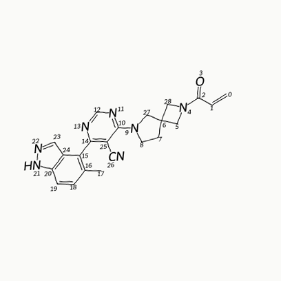 C=CC(=O)N1CC2(CCN(c3ncnc(-c4c(C)ccc5[nH]ncc45)c3C#N)C2)C1